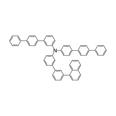 c1ccc(-c2ccc(-c3ccc(N(c4cccc(-c5ccc(-c6ccccc6)cc5)c4)c4cccc(-c5cccc(-c6cccc7ccccc67)c5)c4)cc3)cc2)cc1